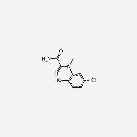 CN(C(=O)C(N)=O)c1cc(Cl)ccc1O